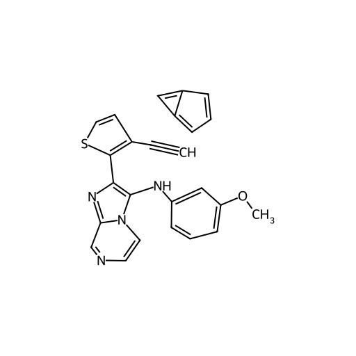 C#Cc1ccsc1-c1nc2cnccn2c1Nc1cccc(OC)c1.c1cc2cc-2c1